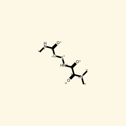 CNC(=O)OSNC(=O)C(=O)N(C)C